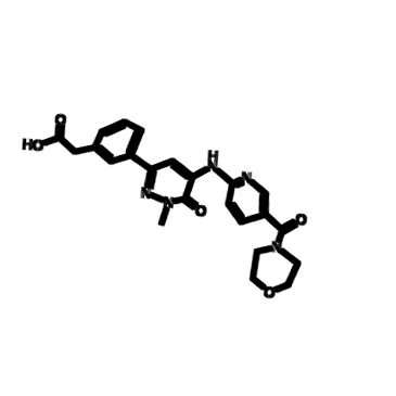 Cn1nc(-c2cccc(CC(=O)O)c2)cc(Nc2ccc(C(=O)N3CCOCC3)cn2)c1=O